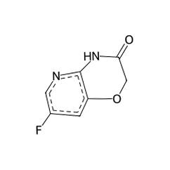 O=C1COc2cc(F)cnc2N1